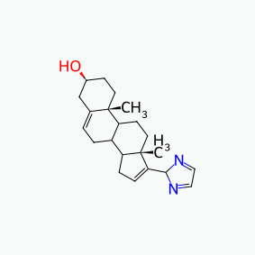 C[C@]12CC[C@H](O)CC1=CCC1C2CC[C@]2(C)C(C3N=CC=N3)=CCC12